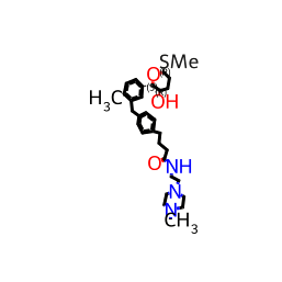 CS[C@@H]1CC[C@@H](O)[C@H](c2ccc(C)c(Cc3ccc(CCCC(=O)NCCN4CCN(C)CC4)cc3)c2)O1